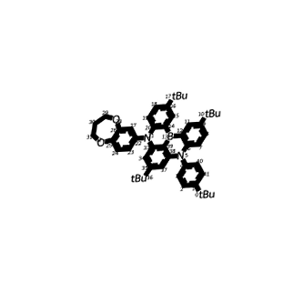 CC(C)(C)c1ccc(N2c3ccc(C(C)(C)C)cc3B3c4cc(C(C)(C)C)ccc4N(c4ccc5c(c4)OCCCO5)c4cc(C(C)(C)C)cc2c43)cc1